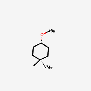 CN[C@]1(C)CC[C@H](OC(C)(C)C)CC1